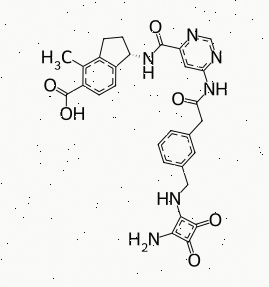 Cc1c(C(=O)O)ccc2c1CC[C@@H]2NC(=O)c1cc(NC(=O)Cc2cccc(CNc3c(N)c(=O)c3=O)c2)ncn1